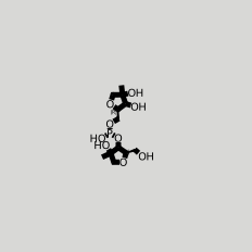 CC1(O)CO[C@H](COP(O)OC2[C@@H](CO)OCC2(C)O)C1O